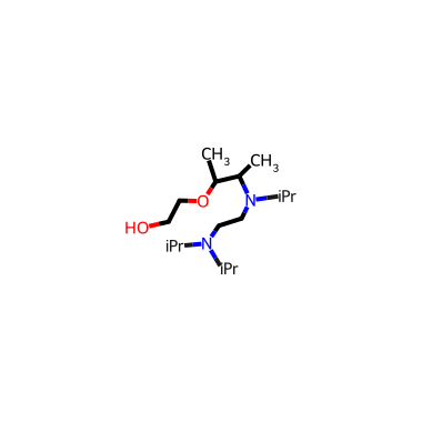 CC(OCCO)C(C)N(CCN(C(C)C)C(C)C)C(C)C